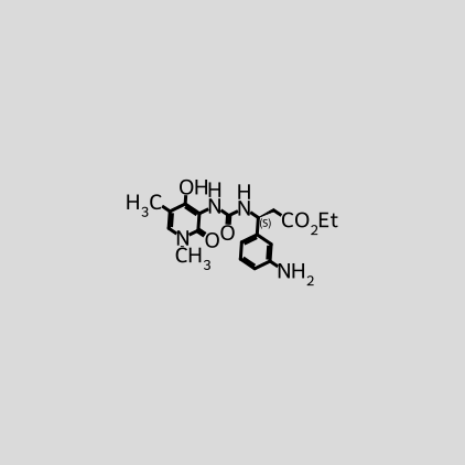 CCOC(=O)C[C@H](NC(=O)Nc1c(O)c(C)cn(C)c1=O)c1cccc(N)c1